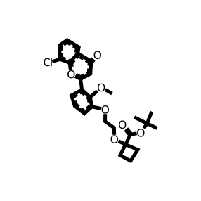 COc1c(OCCOC2(C(=O)OC(C)(C)C)CCC2)cccc1-c1cc(=O)c2cccc(Cl)c2o1